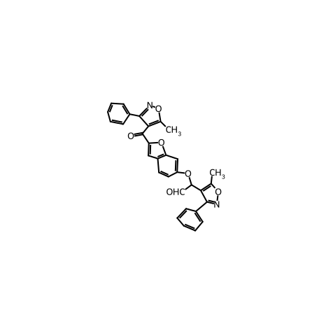 Cc1onc(-c2ccccc2)c1C(=O)c1cc2ccc(OC(C=O)c3c(-c4ccccc4)noc3C)cc2o1